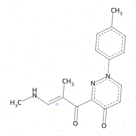 CN/C=C(\C)C(=O)c1nn(-c2ccc(C)cc2)ccc1=O